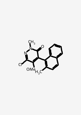 COc1c(Cl)nn(C)c(=O)c1-c1c(C)ccc2ccccc12